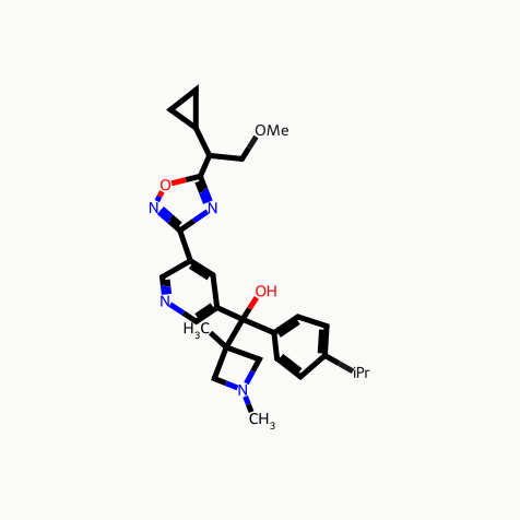 COCC(c1nc(-c2cncc(C(O)(c3ccc(C(C)C)cc3)C3(C)CN(C)C3)c2)no1)C1CC1